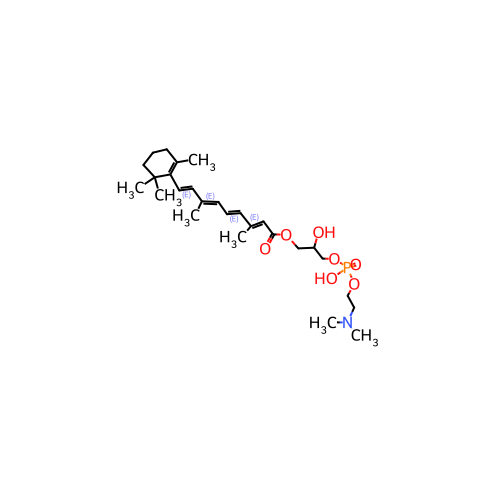 CC1=C(/C=C/C(C)=C/C=C/C(C)=C/C(=O)OCC(O)COP(=O)(O)OCCN(C)C)C(C)(C)CCC1